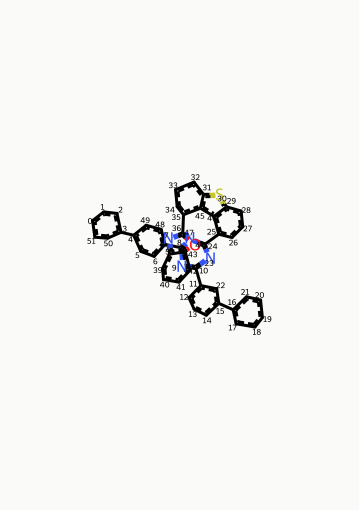 c1ccc(-c2ccc(-c3nc(-c4cccc(-c5ccccc5)c4)nc(-c4cccc5sc6cccc(-c7nc8ccccc8o7)c6c45)n3)cc2)cc1